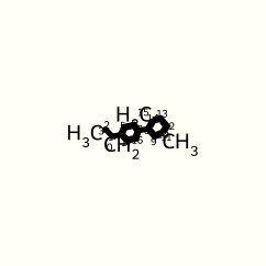 C=C(CC)c1ccc(-c2cc(C)ccc2C)cc1